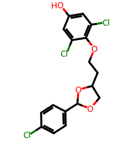 Oc1cc(Cl)c(OCCC2COC(c3ccc(Cl)cc3)O2)c(Cl)c1